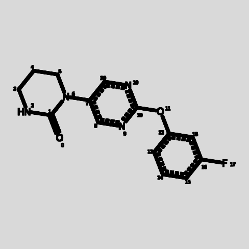 O=C1NCCCN1c1cnc(Oc2cccc(F)c2)nc1